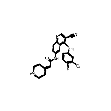 N#Cc1cnc2ccc(NC(=O)C=C3CCNCC3)cc2c1Nc1ccc(F)c(Cl)c1